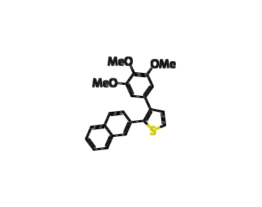 COc1cc(-c2ccsc2-c2ccc3ccccc3c2)cc(OC)c1OC